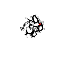 CC(C)c1cccc(C(C)C)c1N1C=CN(c2c(C(C)C)cccc2C(C)C)C1=C1NC=CC=C1Cl.[Cl][Pd][Cl]